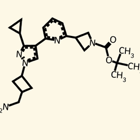 CC(C)(C)OC(=O)N1CC(c2cccc(-c3cn(C4CC(CN)C4)nc3C3CC3)n2)C1